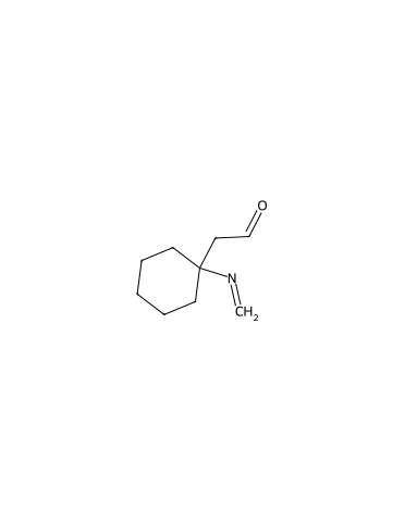 C=NC1(CC=O)CCCCC1